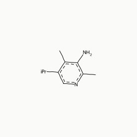 Cc1ncc(C(C)C)c(C)c1N